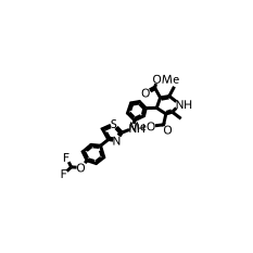 COC(=O)C1=C(C)NC(C)=C(C(=O)OC)C1c1cccc(Nc2nc(-c3ccc(OC(F)F)cc3)cs2)c1